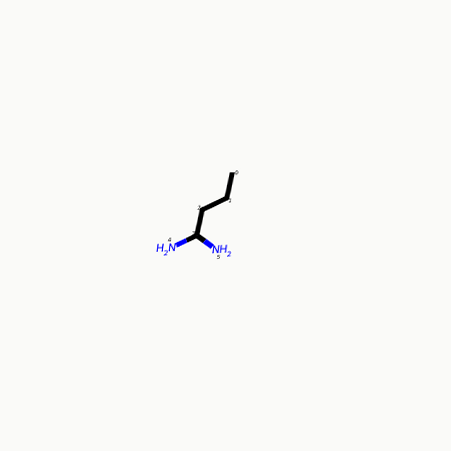 CCCC(N)N